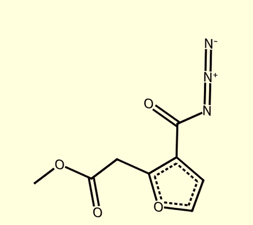 COC(=O)Cc1occc1C(=O)N=[N+]=[N-]